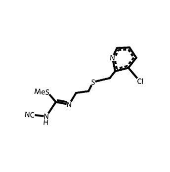 CS/C(=N\CCSCc1ncccc1Cl)NC#N